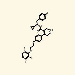 O=C(NC(Cc1ccc(F)cc1)C1CC1)C1=C(c2ccc(CCCOc3c(F)ccc(F)c3F)cc2)CCNC1